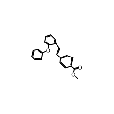 COC(=O)c1ccc(/C=C/c2ccccc2Oc2ccccc2)cc1